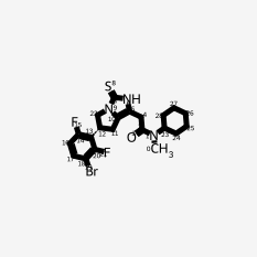 CN(C(=O)Cc1[nH]c(=S)n2c1C[C@H](c1c(F)ccc(Br)c1F)C2)C1CCCCC1